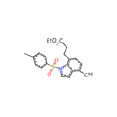 CCOC(=O)CCc1ccc(C#N)c2ccn(S(=O)(=O)c3ccc(C)cc3)c12